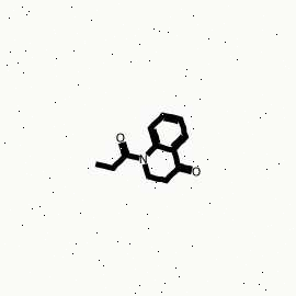 CCC(=O)N1CCC(=O)c2ccccc21